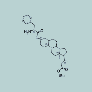 C[C@H](CC(=O)OC(C)(C)C)C1CCC2C3CCC4C[C@H](OC(=O)[C@@H](N)Cc5ccccc5)CC[C@]4(C)C3CC[C@@]21C